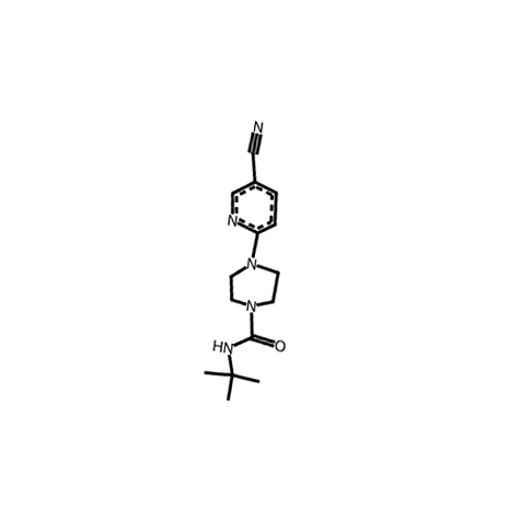 CC(C)(C)NC(=O)N1CCN(c2ccc(C#N)cn2)CC1